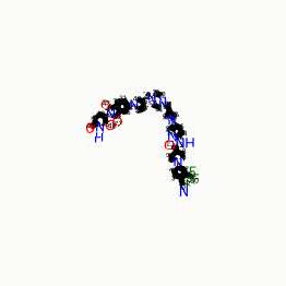 N#Cc1ccc(N2CCC(C(=O)Nc3ccc(N4CC(CN5CCN(C[C@@H]6CCN(c7ccc8c(c7)C(=O)N(C7CCC(=O)NC7=O)C8=O)C6)CC5)C4)cn3)CC2)cc1C(F)(F)F